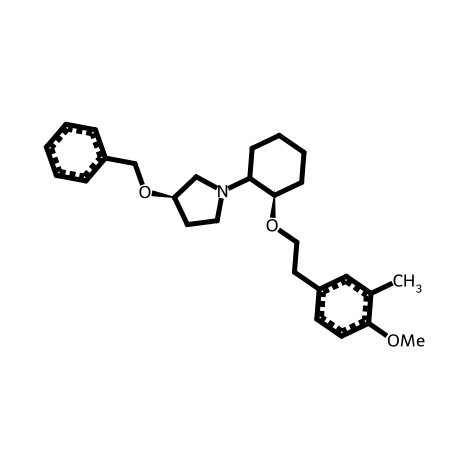 COc1ccc(CCO[C@@H]2CCCCC2N2CC[C@@H](OCc3ccccc3)C2)cc1C